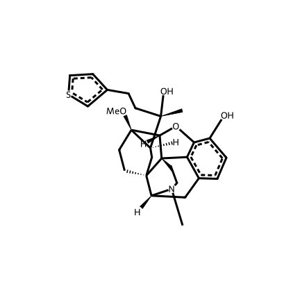 CO[C@]12CC[C@@]3(C[C@@H]1[C@@](C)(O)CCc1ccsc1)[C@H]1Cc4ccc(O)c5c4[C@@]3(CCN1C)[C@H]2O5